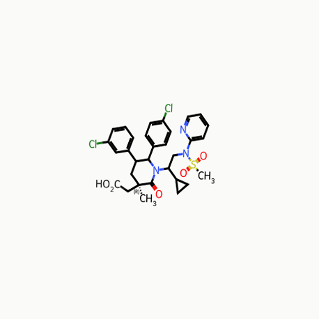 C[C@]1(CC(=O)O)CC(c2cccc(Cl)c2)C(c2ccc(Cl)cc2)N(C(CN(c2ccccn2)S(C)(=O)=O)C2CC2)C1=O